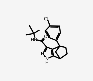 CC(C)(C)NC(=O)c1n[nH]c2c1C1(c3ccc(Cl)cc3)CCC2C1